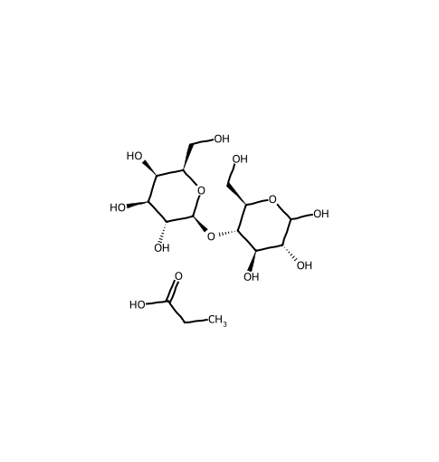 CCC(=O)O.OC[C@H]1O[C@@H](O[C@H]2[C@H](O)[C@@H](O)C(O)O[C@@H]2CO)[C@H](O)[C@@H](O)[C@H]1O